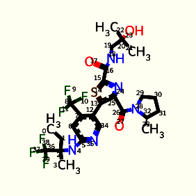 CCC(C)(Nc1cc(C(F)(F)F)c(-c2sc(C(=O)NCC(C)(C)O)nc2C(=O)N2CCC[C@@H]2C)cn1)C(F)(F)F